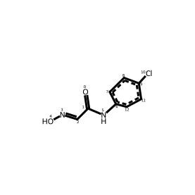 O=C(/C=N/O)Nc1ccc(Cl)cc1